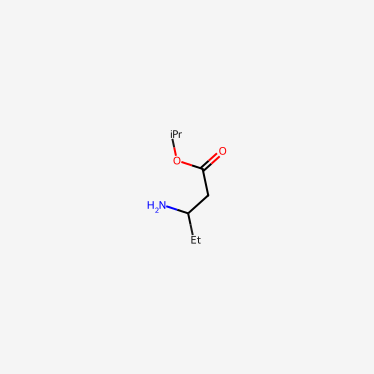 CCC(N)CC(=O)OC(C)C